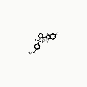 COc1ccc(S(=O)(=O)N2CCCC2(C)c2nc3ccc(Cl)cc3s2)cc1